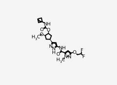 CO[C@@H]1C[C@H](c2cc(NC(=O)c3cc(OCC(F)F)nn3C)[nH]n2)C[C@@H]1OC(=O)NC12CC(C1)C2